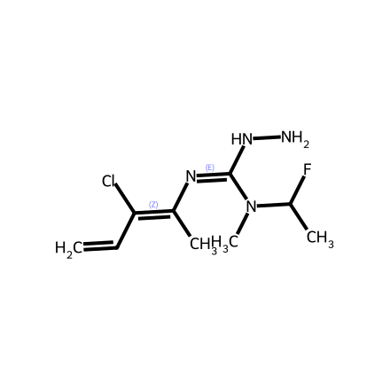 C=C/C(Cl)=C(C)/N=C(/NN)N(C)C(C)F